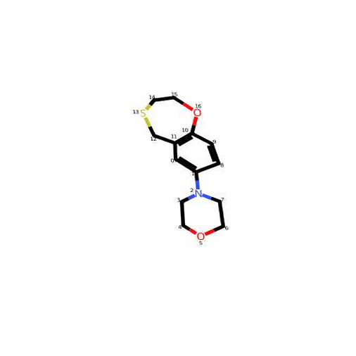 [c]1c(N2CCOCC2)ccc2c1CSCCO2